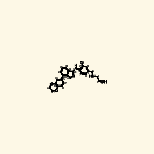 OCCNCc1ccc(Nc2nsc3c(-c4ccc5c(c4)OCCO5)cccc23)c(Cl)c1